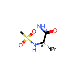 CC(C)[C@H](NS(C)(=O)=O)C(N)=O